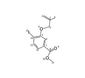 C=C(C)COc1cc(C(=O)OC)ccc1I